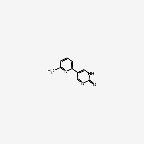 Cc1cccc(-c2cnc(=O)[nH]c2)n1